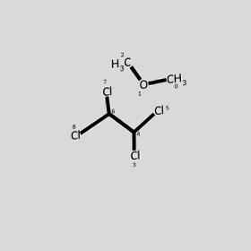 COC.ClC(Cl)C(Cl)Cl